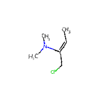 C/C=C(/CCl)N(C)C